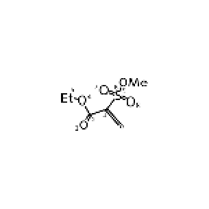 C=C(C(=O)OCC)S(=O)(=O)OC